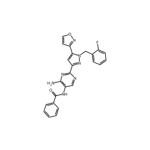 Nc1nc(-c2cc(-c3ccon3)n(Cc3ccccc3F)n2)ncc1NC(=O)c1ccccc1